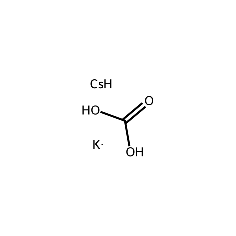 O=C(O)O.[CsH].[K]